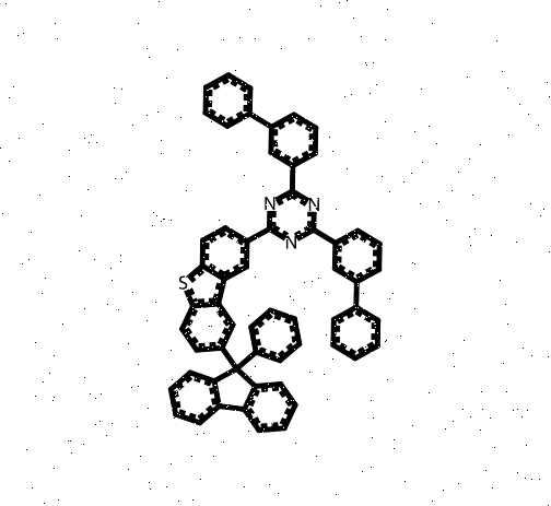 c1ccc(-c2cccc(-c3nc(-c4cccc(-c5ccccc5)c4)nc(-c4ccc5sc6ccc(C7(c8ccccc8)c8ccccc8-c8ccccc87)cc6c5c4)n3)c2)cc1